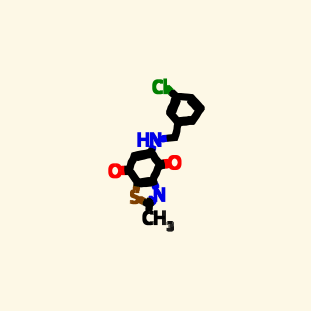 Cc1nc2c(s1)C(=O)C=C(NCc1cccc(Cl)c1)C2=O